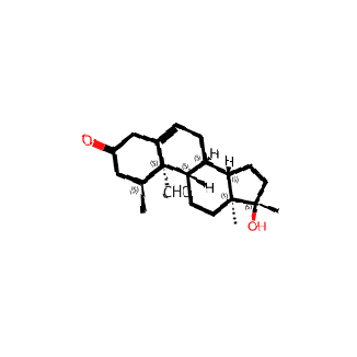 C[C@H]1CC(=O)CC2=CC[C@@H]3[C@H](CC[C@@]4(C)[C@H]3CC[C@]4(C)O)[C@]21C=O